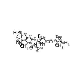 Cc1c(C#Cc2cnc(CN(C(=O)c3cc4c(cc3F)nc(N)c3cnn(C)c34)C3CC3)c(F)c2)cnn1C